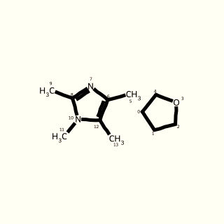 C1CCOC1.Cc1nc(C)n(C)c1C